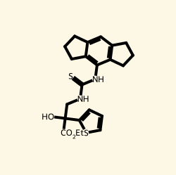 CCOC(=O)C(O)(CNC(=S)Nc1c2c(cc3c1CCC3)CCC2)c1cccs1